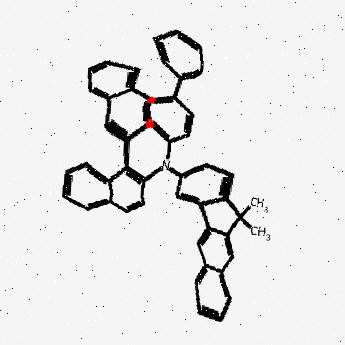 CC1(C)c2ccc(N(c3ccc(-c4ccccc4)cc3)c3ccc4ccccc4c3-c3ccc4ccccc4c3)cc2-c2cc3ccccc3cc21